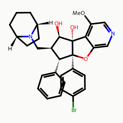 COc1cncc2c1[C@]1(O)[C@H](O)[C@H](CN3[C@@H]4CCC[C@H]3CC4)[C@@H](c3ccccc3)[C@]1(c1ccc(Br)cc1)O2